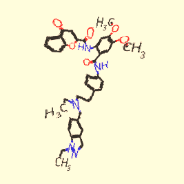 CCN(CCc1ccc(NC(=O)c2cc(OC)c(OC)cc2NC(=O)c2cc(=O)c3ccccc3o2)cc1)Cc1ccc2c(cnn2CC)c1